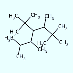 BC(C)C(C)C(C(C)C(C)(C)C)C(C)(C)C